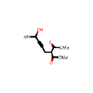 [CH2]CCC(O)C#CCC(C(=O)OC)C(=O)OC